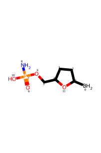 BC1CCC(COP(N)(=O)O)O1